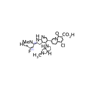 C#C/C(F)=C\C(NC)=C1/Cc2c(ncc(-c3ccc4c(Cl)cc(C(=O)O)c(=O)n4c3)c2N2CC[C@H]3CN(C)C[C@H]32)N1